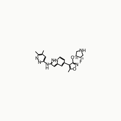 Cc1cc(Nc2cc3cc(-c4c(O[C@@H]5CNC[C@@H]5F)noc4C)ccn3n2)nnc1C